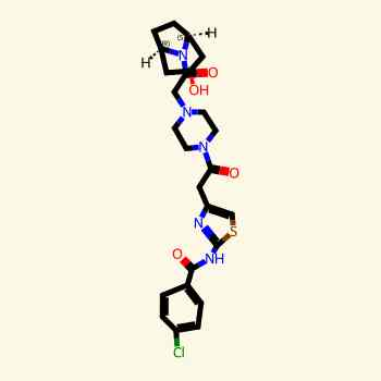 O=C(Nc1nc(CC(=O)N2CCN(CC(=O)N3[C@@H]4CC[C@H]3C[C@@H](O)C4)CC2)cs1)c1ccc(Cl)cc1